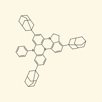 c1ccc(N2c3cc(C45CC6CC(CC(C6)C4)C5)ccc3B3c4ccc(C56CC7CC(CC(C7)C5)C6)c5c4N(CC5)c4cc(C56CC7CC(CC(C7)C5)C6)cc2c43)cc1